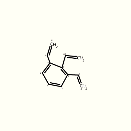 C=Cc1cccc(C=C)c1C=C